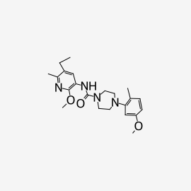 CCc1cc(NC(=O)N2CCN(c3cc(OC)ccc3C)CC2)c(OC)nc1C